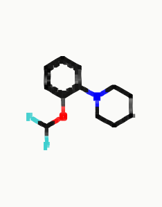 FC(F)Oc1ccccc1N1CC[CH]CC1